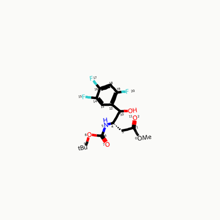 COC(=O)C[C@H](NC(=O)OC(C)(C)C)C(O)c1cc(F)c(F)cc1F